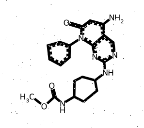 COC(=O)NC1CCC(Nc2ncc3c(N)cc(=O)n(-c4ccccc4)c3n2)CC1